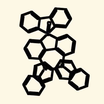 O=S12(c3ccccc3-c3ccccc31)c1cccc(N(c3ccccc3)c3ccccc3)c1-c1c(N(c3ccccc3)c3ccccc3)cccc12